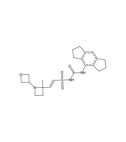 CC1(/C=C/S(=O)(=O)NC(=O)Nc2c3c(cc4c2CCC4)CCC3)CCN1C1COC1